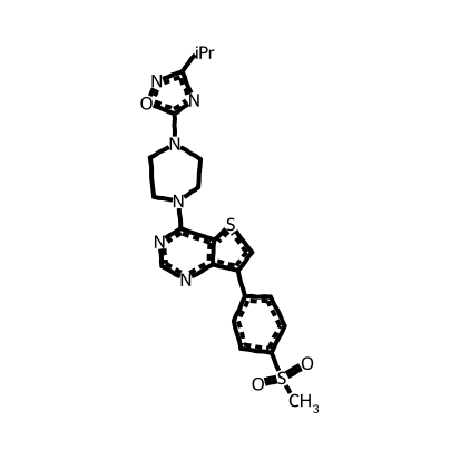 CC(C)c1noc(N2CCN(c3ncnc4c(-c5ccc(S(C)(=O)=O)cc5)csc34)CC2)n1